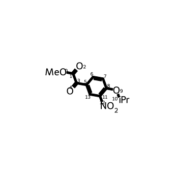 COC(=O)C(=O)c1ccc(OC(C)C)c([N+](=O)[O-])c1